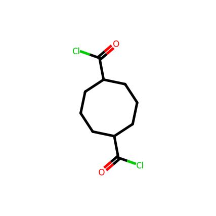 O=C(Cl)C1CCCC(C(=O)Cl)CCC1